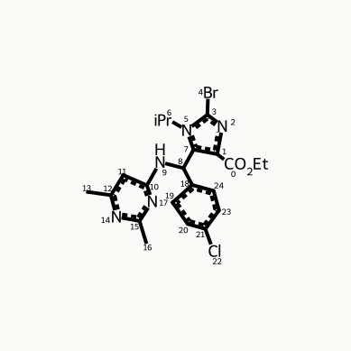 CCOC(=O)c1nc(Br)n(C(C)C)c1C(Nc1cc(C)nc(C)n1)c1ccc(Cl)cc1